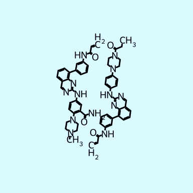 C=CC(=O)Nc1cccc(-c2cccc3cnc(Nc4ccc(N5CCN(C(=O)CC)CC5)cc4)nc23)c1.C=CC(=O)Nc1cccc(-c2cccc3cnc(Nc4ccc(N5CCN(C)CC5)c(C(N)=O)c4)nc23)c1